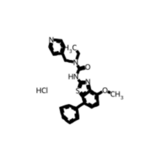 CCN(Cc1ccncc1)C(=O)Nc1nc2c(OC)ccc(-c3ccccc3)c2s1.Cl